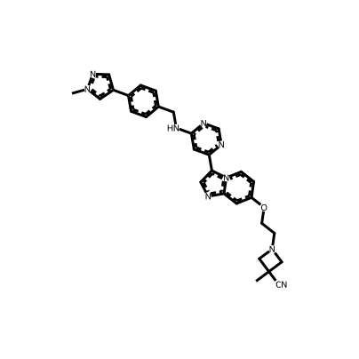 Cn1cc(-c2ccc(CNc3cc(-c4cnc5cc(OCCN6CC(C)(C#N)C6)ccn45)ncn3)cc2)cn1